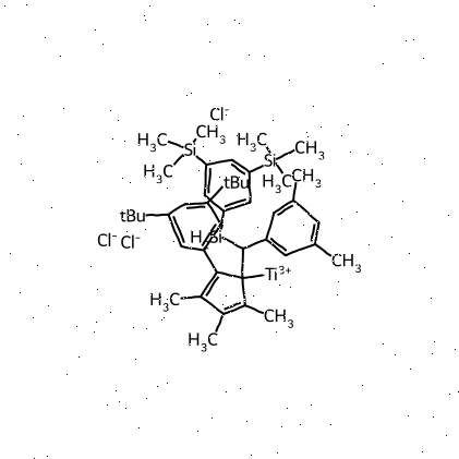 CC1=C(C)[C]([Ti+3])(C([SiH2]c2cc([Si](C)(C)C)cc([Si](C)(C)C)c2)c2cc(C)cc(C)c2)C(c2cc(C(C)(C)C)cc(C(C)(C)C)c2)=C1C.[Cl-].[Cl-].[Cl-]